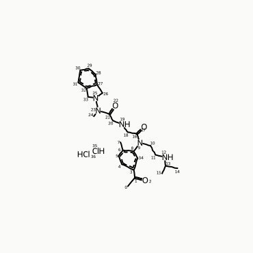 CC(=O)c1ccc(C)c(N(CCNC(C)C)C(=O)CNCC(=O)N(C)N2Cc3ccccc3C2)c1.Cl.Cl